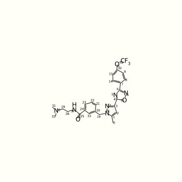 Cc1cc(-c2nc(-c3ccc(OC(F)(F)F)cc3)no2)nn1Cc1cccc(C(=O)NCCN(C)C)c1